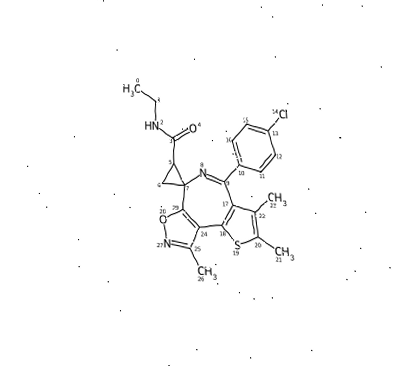 CCNC(=O)C1CC12N=C(c1ccc(Cl)cc1)c1c(sc(C)c1C)-c1c(C)noc12